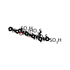 Cc1cc(N=Nc2cc(C)c(N=Nc3ccc(S(=O)(=O)O)cc3S(=O)(=O)O)cc2OCCCS(=O)(=O)O)c(C)cc1N=Nc1cc(C)c(/N=N/c2c(S(=O)(=O)O)cc3cc(N=Nc4ccccc4)ccc3c2O)cc1C